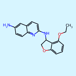 CCOc1cccc2c1C(Nc1ccc3cc(N)ccc3n1)CO2